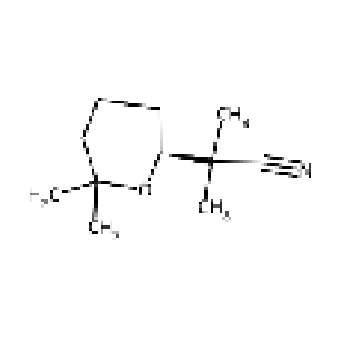 CC1(C)CCC[C@@H](C(C)(C)C#N)O1